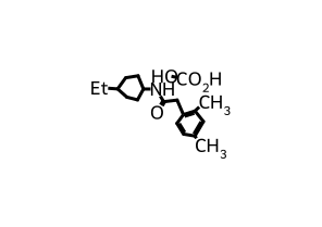 CCC1CCC(NC(=O)Cc2ccc(C)cc2C)CC1.O=C(O)O